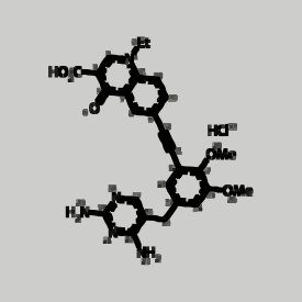 CCn1cc(C(=O)O)c(=O)c2cc(C#Cc3cc(Cc4cnc(N)nc4N)cc(OC)c3OC)ccc21.Cl